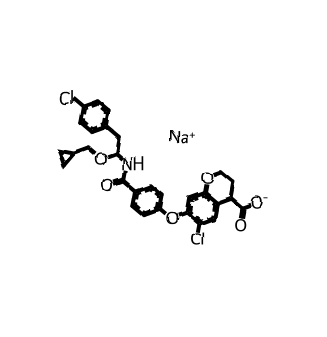 O=C(NC(Cc1ccc(Cl)cc1)OCC1CC1)c1ccc(Oc2cc3c(cc2Cl)C(C(=O)[O-])CCO3)cc1.[Na+]